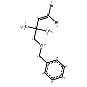 CC(C)(C=C(Br)Br)COCc1ccccc1